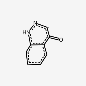 O=c1[c]n[nH]c2ccccc12